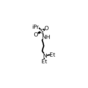 CCN(CC)CCCNS(=O)(=O)C(C)C